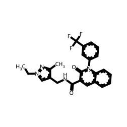 CCn1cc(CNC(=O)c2cc3ccccc3n(-c3cccc(C(F)(F)F)c3)c2=O)c(C)n1